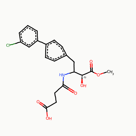 COC(=O)[C@@H](O)C(Cc1ccc(-c2cccc(Cl)c2)cc1)NC(=O)CCC(=O)O